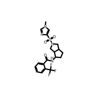 Cn1cnc(S(=O)(=O)N2CC3CCC(NC(=O)c4ccccc4C(F)(F)F)C3C2)c1